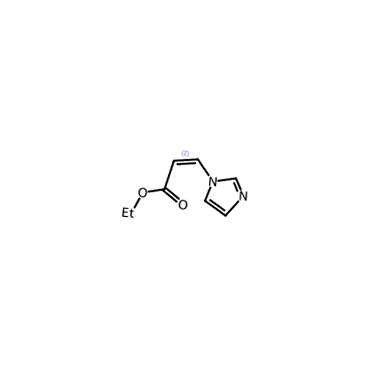 CCOC(=O)/C=C\n1ccnc1